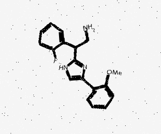 COc1ccccc1-c1c[nH]c(C(CN)c2ccccc2F)n1